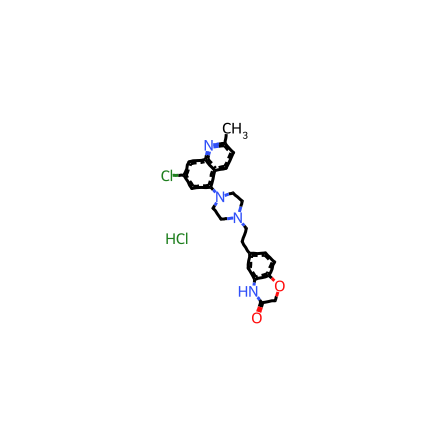 Cc1ccc2c(N3CCN(CCc4ccc5c(c4)NC(=O)CO5)CC3)cc(Cl)cc2n1.Cl